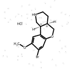 COc1cc2c(cc1Br)OC[C@@H]1CCNC[C@H]21.Cl